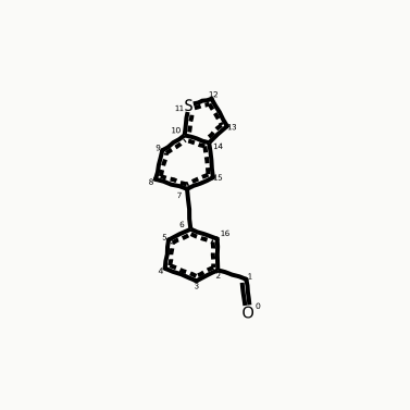 O=Cc1cccc(-c2ccc3sccc3c2)c1